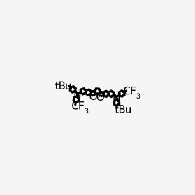 CC(C)(C)c1ccc(N(c2ccc(C(F)(F)F)cc2)c2ccc3cc4c(cc3c2)oc2c4ccc3c4cc5ccc(N(c6ccc(C(C)(C)C)cc6)c6ccc(C(F)(F)F)cc6)cc5cc4oc32)cc1